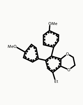 CCc1[c]c(-c2ccc(OC)cc2)c(-c2ccc(OC)cc2)c2c1OCCO2